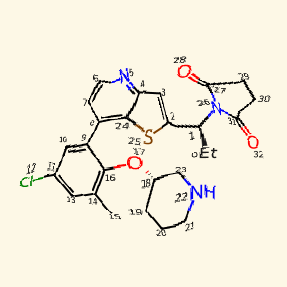 CC[C@@H](c1cc2nccc(-c3cc(Cl)cc(C)c3O[C@H]3CCCNC3)c2s1)N1C(=O)CCC1=O